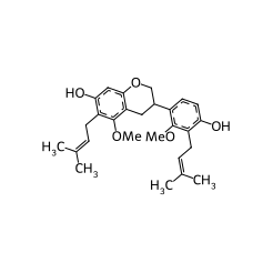 COc1c(C2COc3cc(O)c(CC=C(C)C)c(OC)c3C2)ccc(O)c1CC=C(C)C